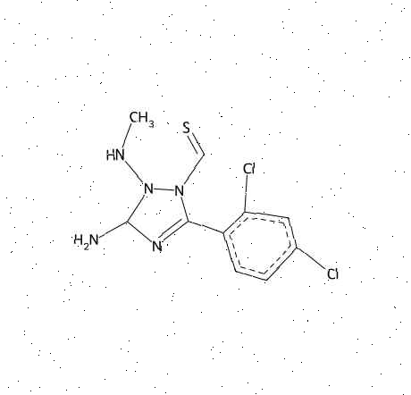 CNN1C(N)N=C(c2ccc(Cl)cc2Cl)N1C=S